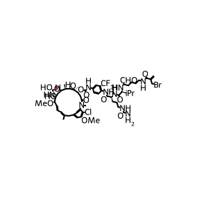 C=C(CBr)C(=O)NCCCCC(C=O)N[C@H](C(=O)N[C@@H](CCCNC(N)=O)C(=O)Nc1ccc(NC(=O)O[C@H]2CC(=O)N(C)c3cc(cc(OC)c3Cl)C/C(C)=C/C=C/[C@@H](OC)[C@@]3(O)C[C@H](OC(O)N3)[C@@H](C)[C@@H]3O[C@@]23C)cc1C(F)(F)F)C(C)C